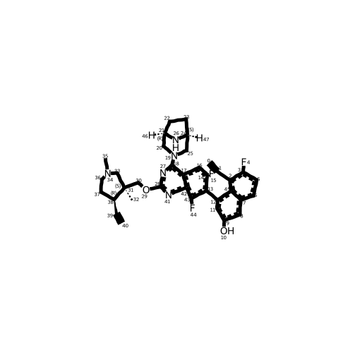 C#Cc1c(F)ccc2cc(O)cc(-c3c(F)cc4c(N5C[C@H]6CC[C@@H](C5)N6)nc(OC[C@]5(C)CN(C)CC[C@@H]5C#C)nc4c3F)c12